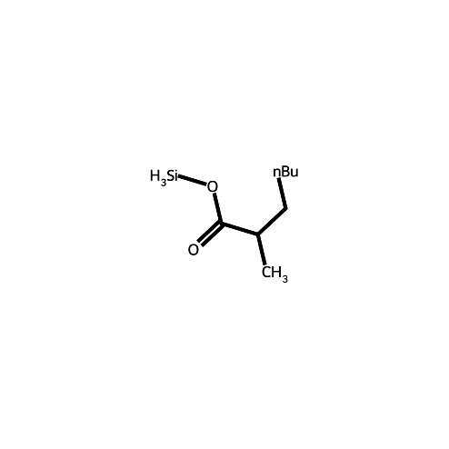 CCCCCC(C)C(=O)O[SiH3]